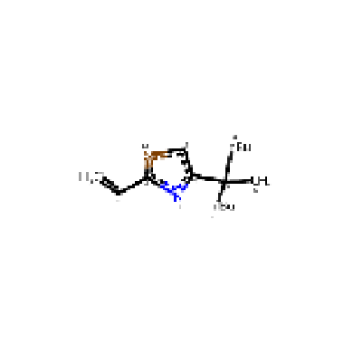 C=Cc1nc(C(C)(CCCC)CCCC)cs1